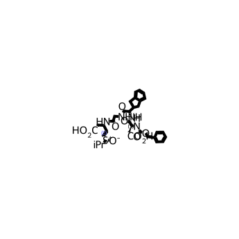 CC(C)[S+]([O-])/C=C/C(CC(=O)O)NC(=O)CNC(=O)C(NC(=O)[C@H](CC(=O)O)NC(=O)OCc1ccccc1)C1Cc2ccccc2C1